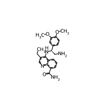 CCc1cnc2c(C(N)=O)cccc2c1N[C@H](CN)c1ccc(OC)c(OC)c1